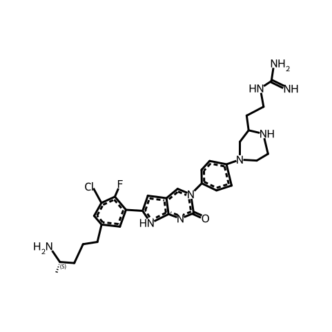 C[C@H](N)CCCc1cc(Cl)c(F)c(-c2cc3cn(-c4ccc(N5CCNC(CCNC(=N)N)C5)cc4)c(=O)nc3[nH]2)c1